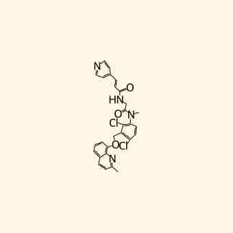 Cc1ccc2cccc(OCc3c(Cl)ccc(N(C)C(=O)CNC(=O)/C=C/c4ccncc4)c3Cl)c2n1